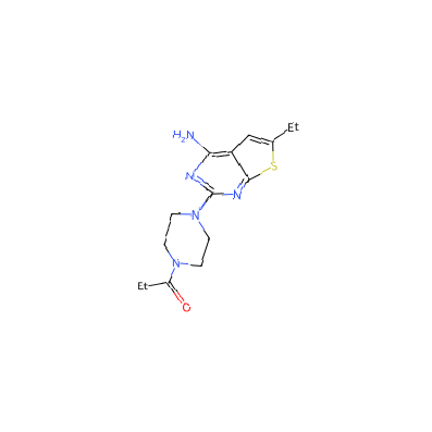 CCC(=O)N1CCN(c2nc(N)c3cc(CC)sc3n2)CC1